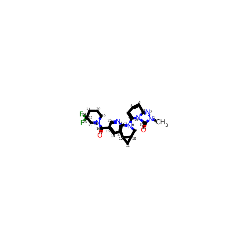 Cn1nc2cccc(N3CC4CC4c4cc(C(=O)N5CCCC(F)(F)C5)cnc43)n2c1=O